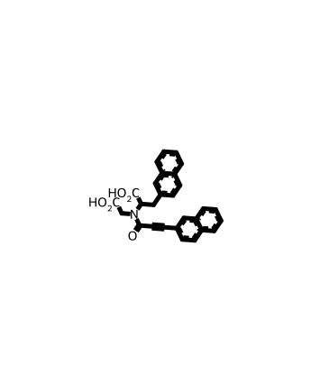 O=C(O)CN(C(=O)C#Cc1ccc2ccccc2c1)C(Cc1ccc2ccccc2c1)C(=O)O